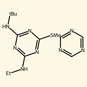 CCNc1nc(NC(C)(C)C)nc(SC)n1.c1ncncn1